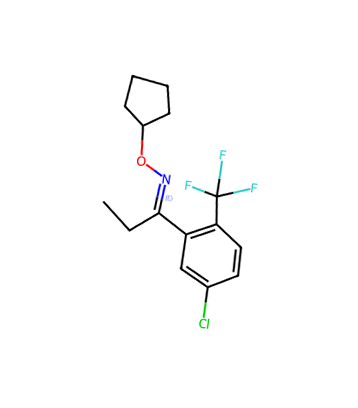 CC/C(=N\OC1CCCC1)c1cc(Cl)ccc1C(F)(F)F